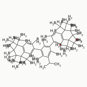 Bc1cc2c(c(B)c1-c1c(B)c(-c3c(B)cc4c(c3B)C(C(B)(B)B)(C(B)(B)B)C(B)(B)C(B)(B)C4(C(B)(B)B)C(B)(B)B)c(B)c(C(C)C)c1B)C(C(B)(B)B)(C(B)(B)B)C(B)(B)C(B)(B)C2(C(B)(B)B)C(B)(B)B